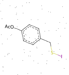 CC(=O)Oc1ccc(CSI)cc1